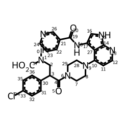 CC(C)N(CC(C(=O)N1CCN(c2ccnc3[nH]cc(NC(=O)c4cccnc4)c23)CC1)c1ccc(Cl)cc1)C(=O)O